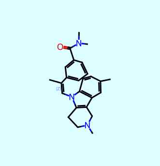 C/C(=C/n1c2c(c3cc(C)ccc31)CN(C)CC2)c1cccc(C(=O)N(C)C)c1